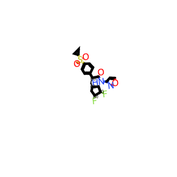 O=C(Nc1ccon1)[C@H](C[C@H]1C[C@@H](F)[C@@H](F)C1)c1ccc(S(=O)(=O)C2CC2)cc1